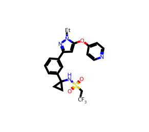 CCn1nc(-c2cccc(C3(NS(=O)(=O)CC(F)(F)F)CC3)c2)cc1Oc1ccncc1